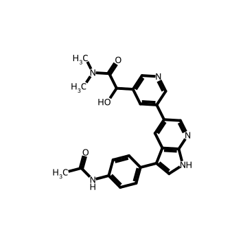 CC(=O)Nc1ccc(-c2c[nH]c3ncc(-c4cncc(C(O)C(=O)N(C)C)c4)cc23)cc1